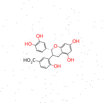 O=C(O)c1ccc(O)c(C2Cc3c(O)cc(O)cc3O[C@H]2c2ccc(O)c(O)c2)c1